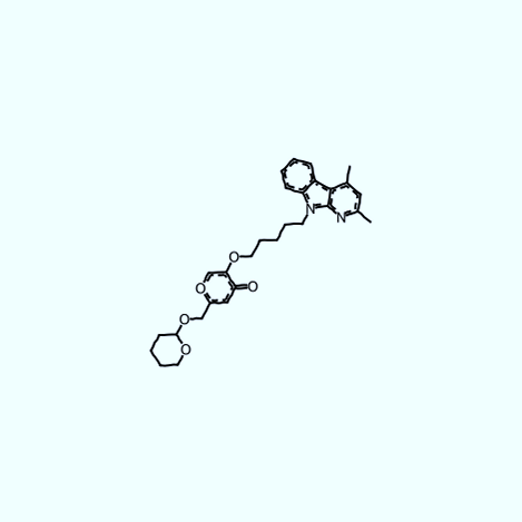 Cc1cc(C)c2c3ccccc3n(CCCCCOc3coc(COC4CCCCO4)cc3=O)c2n1